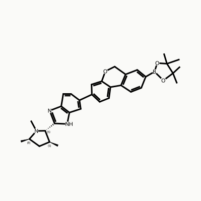 C[C@@H]1C[C@H](C)[C@@H](c2nc3ccc(-c4ccc5c(c4)OCc4cc(B6OC(C)(C)C(C)(C)O6)ccc4-5)cc3[nH]2)N1C